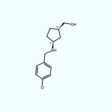 OC[C@@H]1CC[C@H](NCc2ccc(Cl)cc2)C1